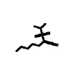 CCCCCC(=[N+]=[N-])S(=O)(=O)C(C)C